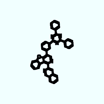 c1ccc(-c2nc(-c3ccccc3)nc(-c3cccc(-c4cnc(-c5cc6ccccc6cn5)c5c4oc4ccccc45)c3)n2)cc1